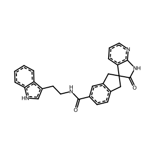 O=C(NCCc1c[nH]c2ccccc12)c1ccc2c(c1)CC1(C2)C(=O)Nc2ncccc21